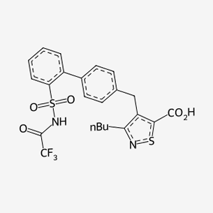 CCCCc1nsc(C(=O)O)c1Cc1ccc(-c2ccccc2S(=O)(=O)NC(=O)C(F)(F)F)cc1